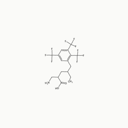 CCC(Cc1cc(C(F)(F)F)cc(C(F)(F)F)c1C(F)(F)F)CC(CN)C(=O)O